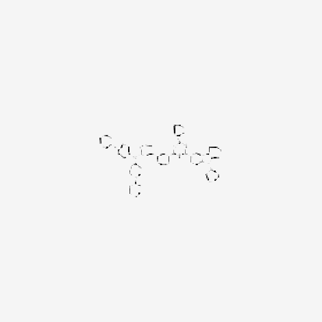 c1ccc(-c2ccc(N(c3ccc(-c4ccccc4)cc3)c3cccc(-c4cccc(-c5nc(-c6ccccc6)nc(-c6ccc7c(c6)c6ccccc6n7-c6ccccc6)n5)c4)c3)cc2)cc1